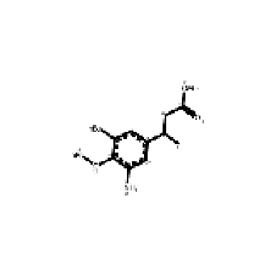 CCCCc1cc(C(C)CC(=O)OC)cc(N)c1OCCC